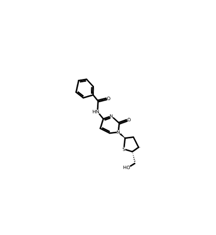 O=C(Nc1ccn([C@H]2C[CH][C@H](CO)S2)c(=O)n1)c1ccccc1